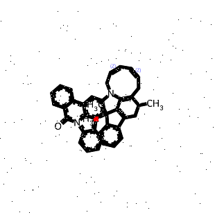 CC1CC2=C(C3=C1C/C=C\C=C/CN3c1cc3c4ccccc4c(=O)n4c5ccccc5c(c1)c34)C(C)(C)c1ccccc12